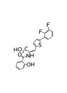 O=C(O)/C(=C\c1ccc(-c2cccc(F)c2F)s1)NC(=O)c1ccccc1O